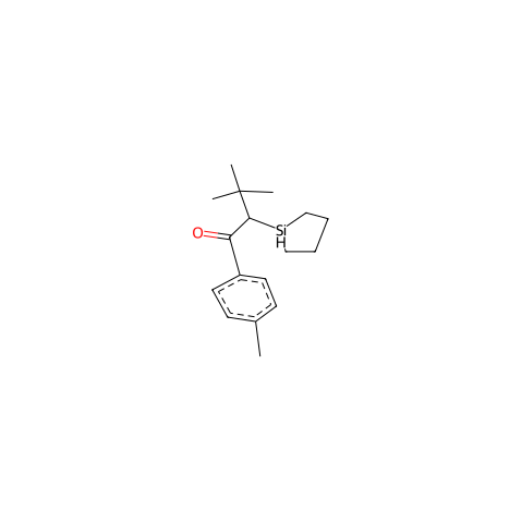 Cc1ccc(C(=O)C([SiH]2CCCC2)C(C)(C)C)cc1